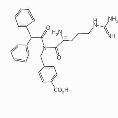 N=C(N)NCCC[C@@H](N)C(=O)N(Cc1ccc(C(=O)O)cc1)C(=O)C(c1ccccc1)c1ccccc1